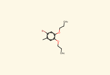 CC(=O)OCCOc1cc(C)c(Br)cc1OCCOC(C)=O